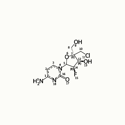 Nc1ccn(C2O[C@@](CO)(CCl)[C@@H](O)[C@H]2F)c(=O)n1